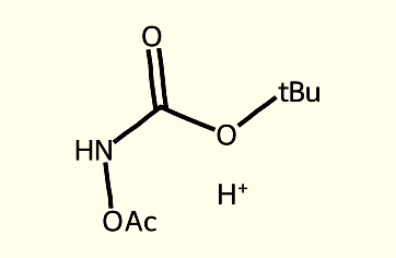 CC(=O)ONC(=O)OC(C)(C)C.[H+]